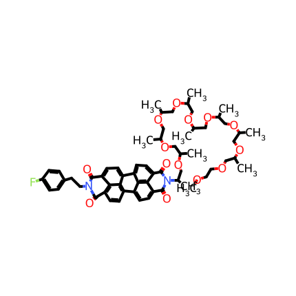 COCCOCC(C)OCC(C)OCC(C)OCC(C)OCC(C)OCC(C)OCC(C)OCC(C)OCC(C)N1C(=O)c2ccc3c4ccc5c6c(ccc(c7ccc(c2c37)C1=O)c64)C(=O)N(CCc1ccc(F)cc1)C5=O